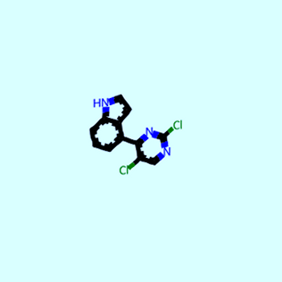 Clc1ncc(Cl)c(-c2cccc3[nH]ccc23)n1